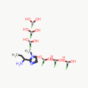 CCC(N)c1nccn1C.OB(O)F.OB(O)F.OB(O)F.OB(O)F.OB(O)F.OB(O)F